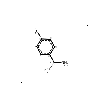 CCC[C@@H](N)c1ccc(C(F)(F)F)cc1